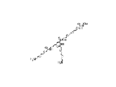 CC(C)(C)OC(=O)NOCCOCCOCCNC(=O)[C@H](CCCCCNC(=O)COCCOCCN)NC(=O)COCCOCCN